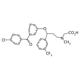 CN(CCC(Oc1cccc(C(=O)c2ccc(Cl)cc2)c1)c1cccc(C(F)(F)F)c1)CC(=O)O